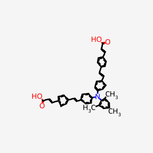 Cc1cc(C)c(N(c2ccc(/C=C/c3ccc(/C=C/C(=O)O)cc3)cc2)c2ccc(/C=C/c3ccc(/C=C/C(=O)O)cc3)cc2)c(C)c1